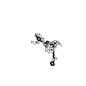 COc1ccc(CNc2ncnc3c2ccn3[C@@H]2O[C@H](CN(CCCCC(=O)OCc3ccccc3)C(C)C)[C@H]3OC(C)(C)O[C@H]32)c(OC)c1